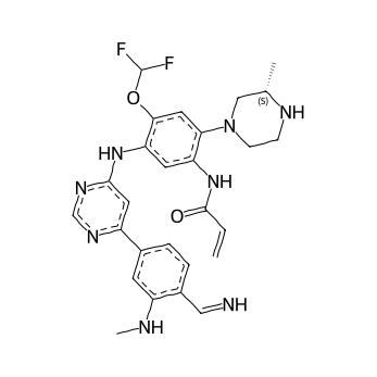 C=CC(=O)Nc1cc(Nc2cc(-c3ccc(C=N)c(NC)c3)ncn2)c(OC(F)F)cc1N1CCN[C@@H](C)C1